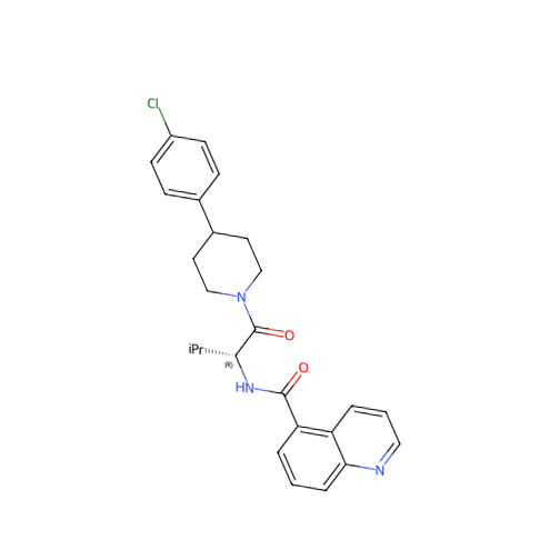 CC(C)[C@@H](NC(=O)c1cccc2ncccc12)C(=O)N1CCC(c2ccc(Cl)cc2)CC1